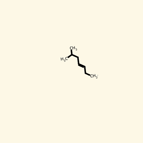 [CH2]CC=CC[C](C)C